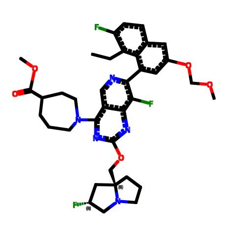 CCc1c(F)ccc2cc(OCOC)cc(-c3ncc4c(N5CCCC(C(=O)OC)CC5)nc(OC[C@@]56CCCN5C[C@H](F)C6)nc4c3F)c12